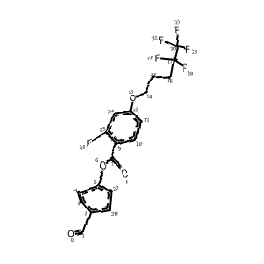 O=Cc1ccc(OC(=O)c2ccc(OCCCC(F)(F)C(F)(F)F)cc2F)cc1